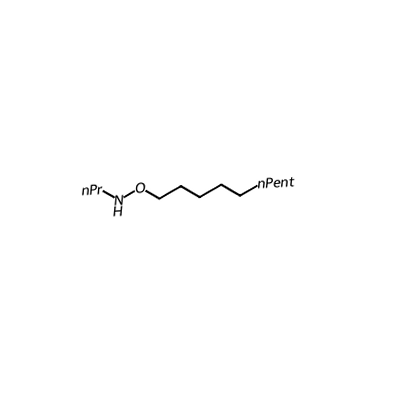 CCCCCCCCCCONCCC